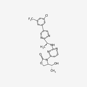 C[C@H](Nc1nccc(N2C(=O)OCC2[C@@H](C)O)n1)c1ncc(-c2cc(Cl)cc(C(F)(F)F)c2)cn1